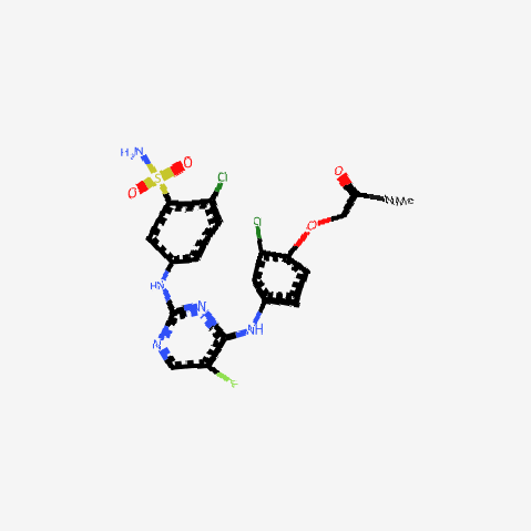 CNC(=O)COc1ccc(Nc2nc(Nc3ccc(Cl)c(S(N)(=O)=O)c3)ncc2F)cc1Cl